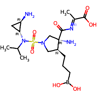 C/C(=N\C(=O)[C@]1(N)CN(S(=O)(=O)N(C(C)C)[C@@H]2C[C@H]2N)C[C@@H]1CCCB(O)O)C(=O)O